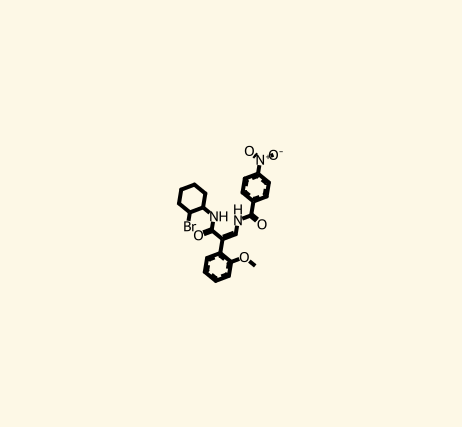 COc1ccccc1C(=CNC(=O)c1ccc([N+](=O)[O-])cc1)C(=O)NC1CCCCC1Br